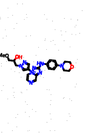 COCC(O)Cn1cc([N+]23C=CN=CC2=NC(Nc2ccc(N4CCOCC4)cc2)=N3)cn1